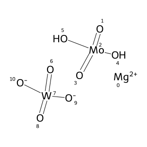 [Mg+2].[O]=[Mo](=[O])([OH])[OH].[O]=[W](=[O])([O-])[O-]